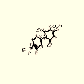 CCc1c(C(=O)O)c(C)cc(=O)n1-c1ccc(C(F)(F)F)cc1